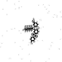 COc1ccc(Oc2ccc(S(=O)(=O)c3ccc(C)cc3)cc2)c(OC(F)(F)C(F)(F)C(F)(F)C(C)(F)F)c1